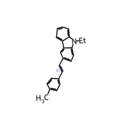 CCn1c2ccccc2c2cc(/C=C/c3ccc(C)cc3)ccc21